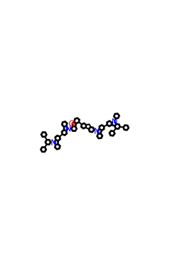 c1ccc(-c2cc(-c3ccccc3)cc(-n3c4ccccc4c4cc(-c5ccc6c(c5)c5ccccc5n6-c5cccc6c5oc5cccc(-c7ccc8c(c7)Cc7cc(-n9c%10ccccc%10c%10cc(-c%11ccc%12c(c%11)c%11c(-c%13ccccc%13)cc(-c%13ccccc%13)cc%11n%12-c%11ccccc%11)ccc%109)ccc7-8)c56)ccc43)c2)cc1